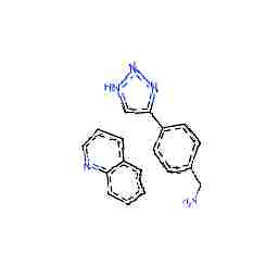 NCc1ccc(-c2c[nH]nn2)cc1.c1ccc2ncccc2c1